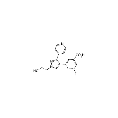 O=C(O)c1cc(F)cc(-c2cn(CCO)nc2-c2ccncc2)c1